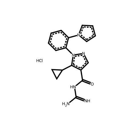 Cl.N=C(N)NC(=O)c1cnn(-c2ccccc2-n2cccc2)c1C1CC1